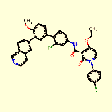 CCOc1ccn(-c2ccc(F)cc2)c(=O)c1C(=O)Nc1ccc(-c2ccc(OC)c(-c3ccc4cnccc4c3)c2)c(F)c1